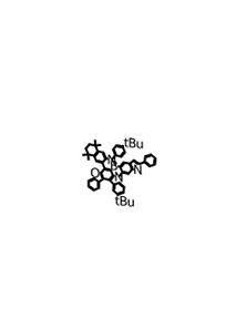 Cn1c(-c2ccccc2)cc2cc3c(cc21)-n1c2ccc(C(C)(C)C)cc2c2c4c(oc5ccccc54)c4c(c21)B3N(c1ccc(C(C)(C)C)cc1)c1cc2c(cc1-4)C(C)(C)CCC2(C)C